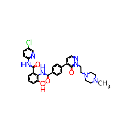 CN1CCN(CCn2nccc(-c3ccc(C(=O)Nc4c(O)cccc4C(=O)Nc4ccc(Cl)cn4)cc3)c2=O)CC1